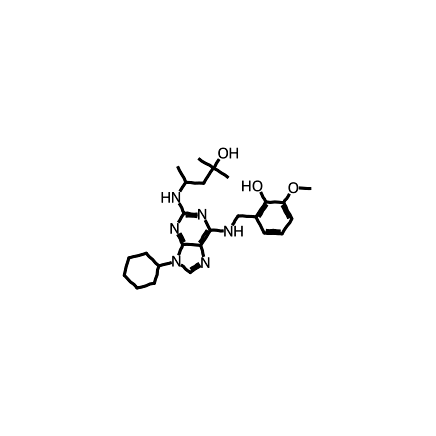 COc1cccc(CNc2nc(NC(C)CC(C)(C)O)nc3c2ncn3C2CCCCC2)c1O